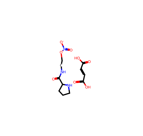 O=C(NCCO[N+](=O)[O-])C1CCCN1.O=C(O)C=CC(=O)O